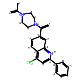 C=C(C)N1CCN(C(=C)c2ccc3c(Cl)cc(-c4ccccc4)nc3c2)CC1